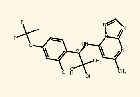 Cc1cc(N[C@H](c2ccc(OC(F)(F)F)cc2Cl)C(C)(C)O)n2ncnc2n1